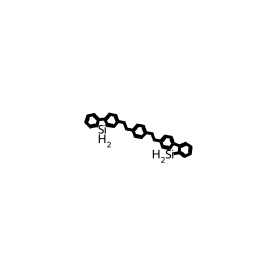 c1ccc2c(c1)[SiH2]c1cc(CCc3ccc(CCc4ccc5c(c4)[SiH2]c4ccccc4-5)cc3)ccc1-2